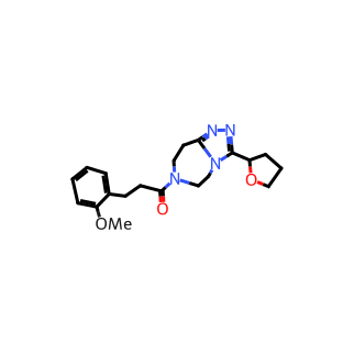 COc1ccccc1CCC(=O)N1CCc2nnc(C3CCCO3)n2CC1